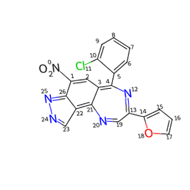 O=[N+]([O-])c1cc2c(-c3ccccc3Cl)nc(-c3ccco3)cnc2c2cnnc12